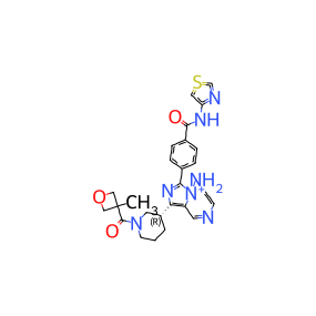 CC1(C(=O)N2CCC[C@@H](C3=C4C=NC=C[N+]4(N)C(c4ccc(C(=O)Nc5cscn5)cc4)=N3)C2)COC1